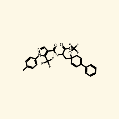 Cc1ccc(-n2ncc(C(=O)NC(CC3(OC(F)(F)F)C=CC(c4ccccc4)=CC3)C(=O)O)c2C(F)(F)F)cc1